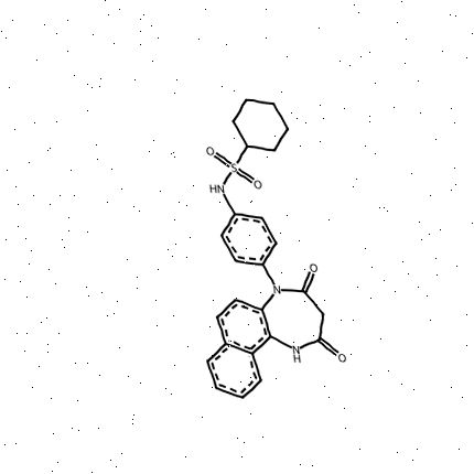 O=C1CC(=O)N(c2ccc(NS(=O)(=O)C3CCCCC3)cc2)c2ccc3ccccc3c2N1